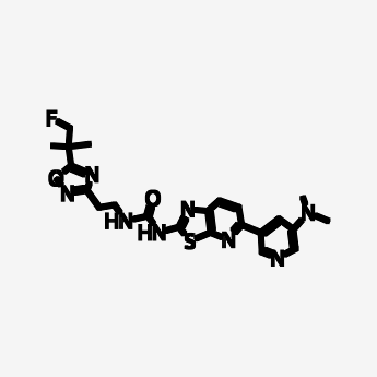 CN(C)c1cncc(-c2ccc3nc(NC(=O)NCCc4noc(C(C)(C)CF)n4)sc3n2)c1